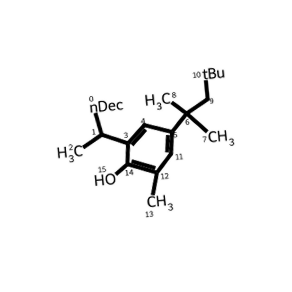 CCCCCCCCCCC(C)c1cc(C(C)(C)CC(C)(C)C)cc(C)c1O